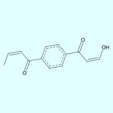 C/C=C\C(=O)c1ccc(C(=O)/C=C\O)cc1